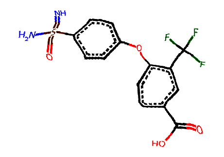 N=S(N)(=O)c1ccc(Oc2ccc(C(=O)O)cc2C(F)(F)F)cc1